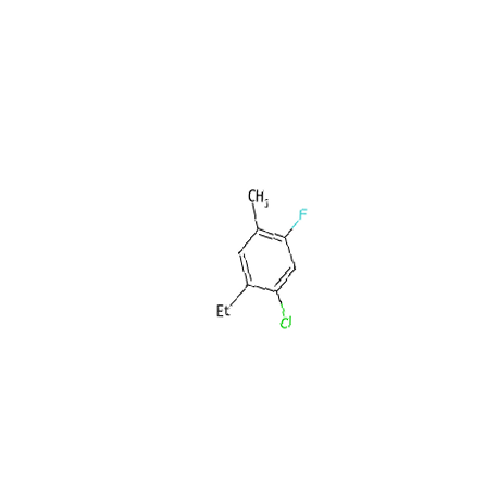 CCc1cc(C)c(F)cc1Cl